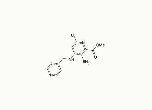 Bc1c(NCc2ccncc2)cc(Cl)nc1C(=O)OC